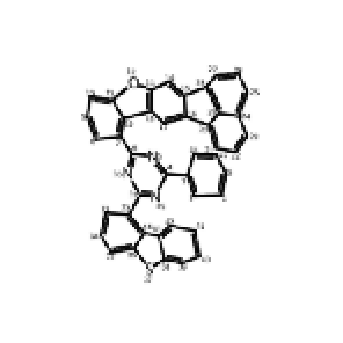 c1ccc(-c2nc(-c3cccc4oc5cc6c(cc5c34)-c3cccc4cccc-6c34)nc(-c3cccc4sc5ccccc5c34)n2)cc1